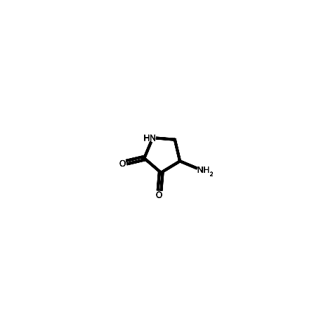 NC1CNC(=O)C1=O